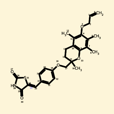 C=CCOc1c(C)c(C)c2c(c1C)CCC(C)(COc1ccc(/C=C3\SC(=O)NC3=O)cc1)O2